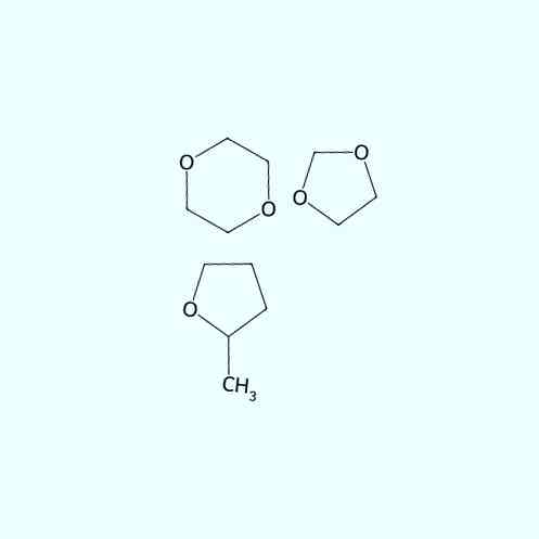 C1COCCO1.C1COCO1.CC1CCCO1